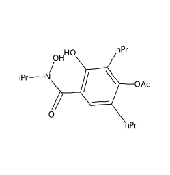 CCCc1cc(C(=O)N(O)C(C)C)c(O)c(CCC)c1OC(C)=O